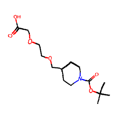 CC(C)(C)OC(=O)N1CCC(COCCOCC(=O)O)CC1